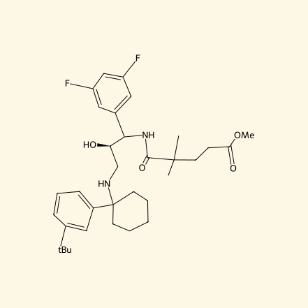 COC(=O)CCC(C)(C)C(=O)NC(c1cc(F)cc(F)c1)[C@H](O)CNC1(c2cccc(C(C)(C)C)c2)CCCCC1